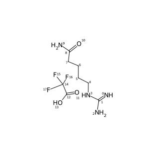 N=C(N)NCCCCC(N)=O.O=C(O)C(F)(F)F